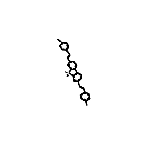 Cc1ccc(/C=C/c2ccc3c(c2)[Si](C)(C)c2cc(/C=C/c4ccc(C)cc4)ccc2-3)cc1